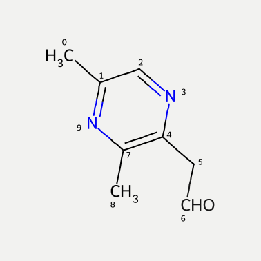 Cc1cnc(CC=O)c(C)n1